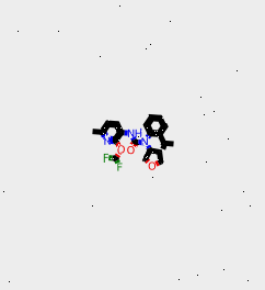 Cc1ccc(NC(=O)N(c2ccccc2C(C)C)C2CCOC2)c(OC(F)F)n1